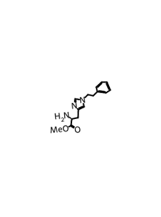 COC(=O)[C@@H](N)Cc1cn(CCc2ccccc2)cn1